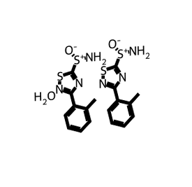 Cc1ccccc1-c1nsc([S+](N)[O-])n1.Cc1ccccc1-c1nsc([S+](N)[O-])n1.O